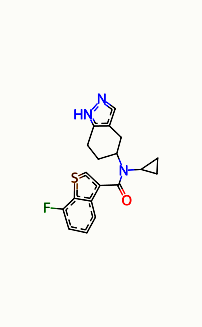 O=C(c1csc2c(F)cccc12)N(C1CC1)C1CCc2[nH]ncc2C1